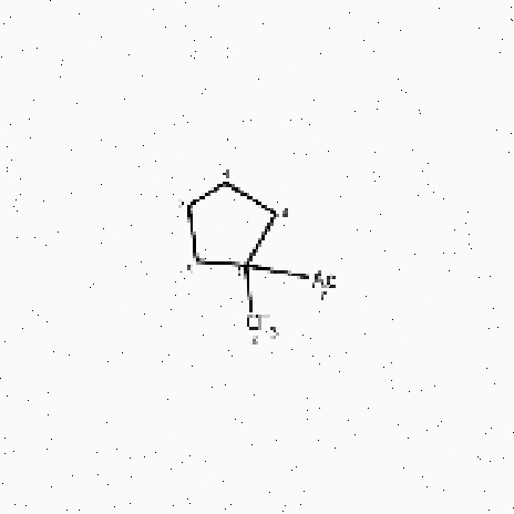 CC(=O)C1(C(F)(F)F)CCCC1